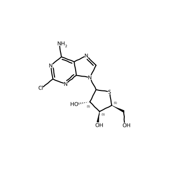 Nc1nc(Cl)nc2c1ncn2C1S[C@@H](CO)[C@@H](O)[C@@H]1O